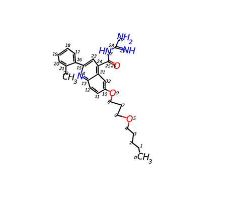 CCCCCOCCCOc1ccc2nc(-c3ccccc3C)cc(C(=O)NC(=N)N)c2c1